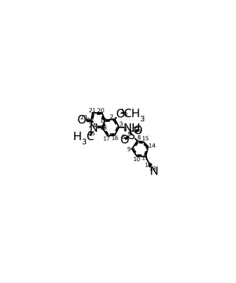 COc1c(NS(=O)(=O)c2ccc(C#N)cc2)ccc2c1ccc(=O)n2C